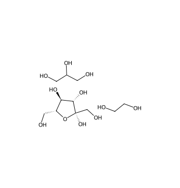 OCC(O)CO.OCCO.OC[C@H]1O[C@](O)(CO)[C@@H](O)[C@@H]1O